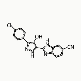 N#Cc1ccc2nc(-c3[nH]nc(-c4ccc(Cl)cc4)c3O)[nH]c2c1